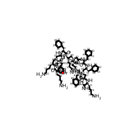 CC(C)N[C@@H](CCCCN)C(=O)N[C@@H](CCCCN)CN(CC(=O)N[C@@H](Cc1ccccc1)C(=O)N[C@@H](CCCCN)CN(CC(=O)N[C@@H](Cc1ccccc1)C(=O)N[C@@H](Cc1ccccc1)CN(CC(=O)N[C@@H](CCCCN)C(N)=O)S(=O)(=O)Cc1ccccc1)S(=O)(=O)CCN)S(=O)(=O)Cc1ccccc1